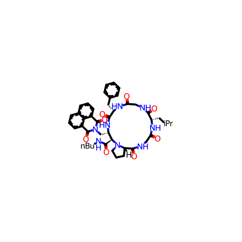 CCCCNC(=O)[C@H]1[C@H](CN2C(=O)c3cccc4cccc(c34)C2=O)NC(=O)[C@H](Cc2ccccc2)NC(=O)CNC(=O)[C@H](CC(C)C)NC(=O)CNC(=O)[C@@H]2CCCN21